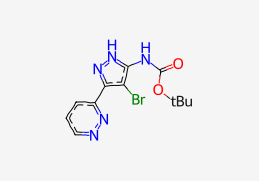 CC(C)(C)OC(=O)Nc1[nH]nc(-c2cccnn2)c1Br